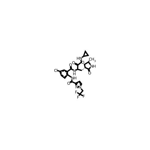 C[C@@H]1C[C@@H](CC(NC(=O)c2cc(Cl)ccc2NC(=O)c2ccn(CC(F)(F)F)n2)C(=O)C(=O)NC2CC2)C(=O)N1